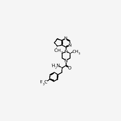 C[C@@H]1CCc2ncnc(N3CCN(C(=O)[C@H](N)Cc4ccc(C(F)(F)F)cc4)C[C@@H]3C)c21